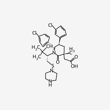 CC(C)(C)[C@@H](CSN1CCNCC1)N1C(=O)[C@@](C)(CC(=O)O)C[C@H](c2cccc(Cl)c2)[C@H]1c1ccc(Cl)cc1